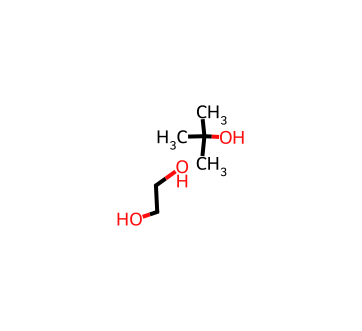 CC(C)(C)O.OCCO